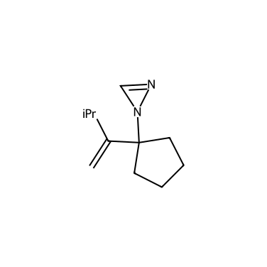 C=C(C(C)C)C1(N2C=N2)CCCC1